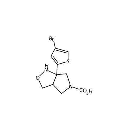 O=C(O)N1CC2CONC2(c2cc(Br)cs2)C1